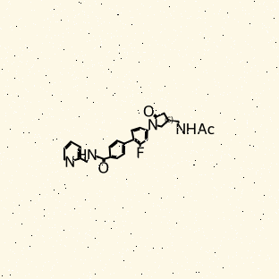 CC(=O)NC[C@@H]1CC(=O)N(c2ccc(-c3ccc(C(=O)NCc4ccccn4)cc3)c(F)c2)C1